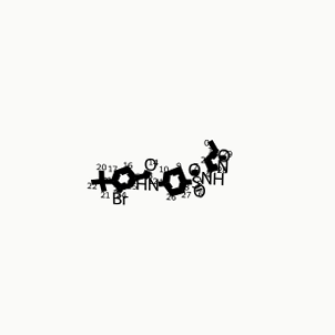 Cc1cc(NS(=O)(=O)c2ccc(NC(=O)c3ccc(C(C)(C)C)c(Br)c3)cc2)no1